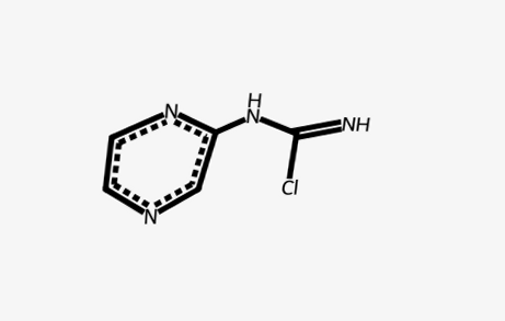 N=C(Cl)Nc1cnccn1